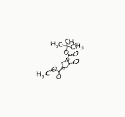 COC(=O)[C@@H]1CC(=O)N(C(=O)OC(C)(C)C)C1